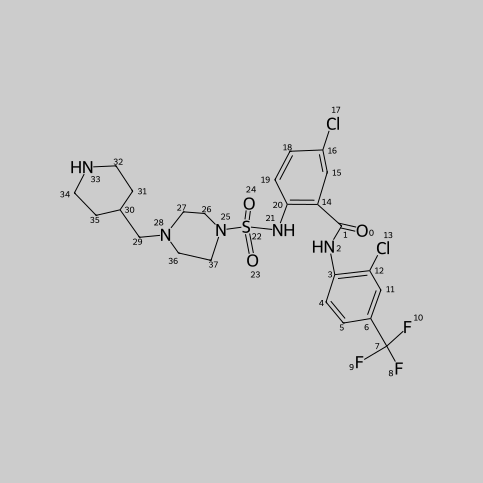 O=C(Nc1ccc(C(F)(F)F)cc1Cl)c1cc(Cl)ccc1NS(=O)(=O)N1CCN(CC2CCNCC2)CC1